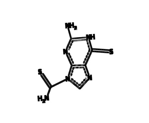 NC(=S)n1cnc2c(=S)[nH]c(N)nc21